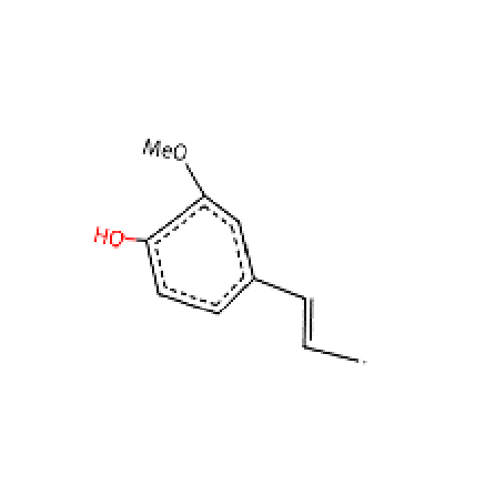 [CH2]/C=C/c1ccc(O)c(OC)c1